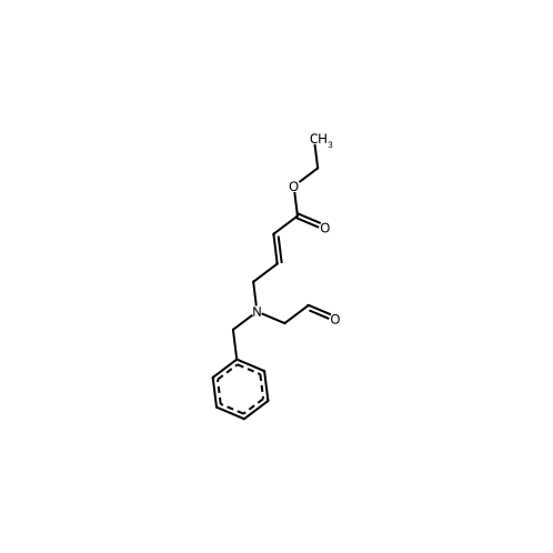 CCOC(=O)C=CCN(CC=O)Cc1ccccc1